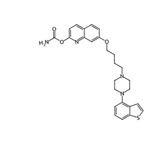 NC(=O)Oc1ccc2ccc(OCCCCN3CCN(c4cccc5sccc45)CC3)cc2n1